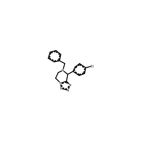 CCc1ccc(C2c3nnnn3CCN2Cc2ccccc2)cc1